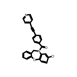 O=C(c1ccc(C#Cc2ccncc2)cc1)N1Cc2ccccc2Oc2ccc(Cl)cc21